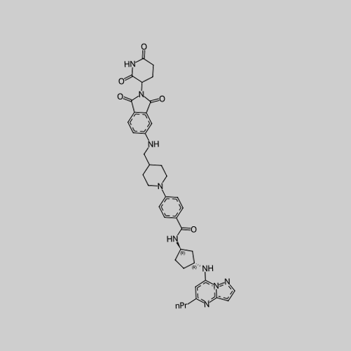 CCCc1cc(N[C@@H]2CC[C@@H](NC(=O)c3ccc(N4CCC(CNc5ccc6c(c5)C(=O)N(C5CCC(=O)NC5=O)C6=O)CC4)cc3)C2)n2nccc2n1